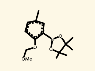 COCOc1ccc(C)cc1B1OC(C)(C)C(C)(C)O1